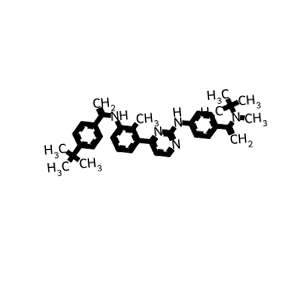 C=C(Nc1cccc(-c2ccnc(Nc3ccc(C(=C)N(C)C(C)(C)C)cc3)n2)c1C)c1ccc(C(C)(C)C)cc1